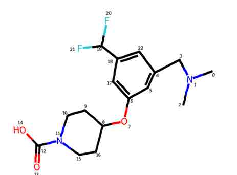 CN(C)Cc1cc(OC2CCN(C(=O)O)CC2)cc(C(F)F)c1